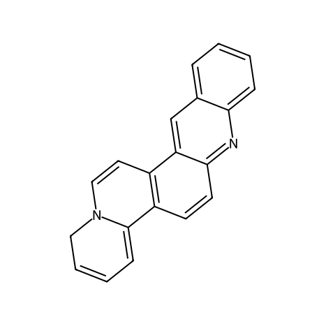 C1=CCN2C=Cc3c(ccc4nc5ccccc5cc34)C2=C1